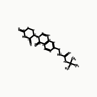 CC(C)(C)OC(=O)NCc1ccc2c(=O)n(C3CCC(=O)NC3=O)cnc2c1